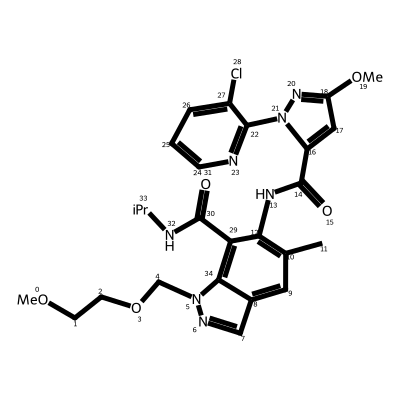 COCCOCn1ncc2cc(C)c(NC(=O)c3cc(OC)nn3-c3ncccc3Cl)c(C(=O)NC(C)C)c21